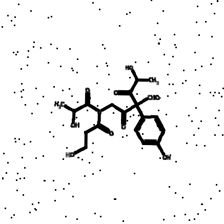 CC(O)C(=O)N(CC(=O)C([C]=O)(C(=O)C(C)O)c1ccc(O)cc1)C(=O)CCO